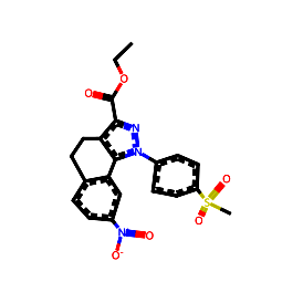 CCOC(=O)c1nn(-c2ccc(S(C)(=O)=O)cc2)c2c1CCc1ccc([N+](=O)[O-])cc1-2